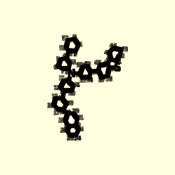 c1ccc(-c2cccc(N(c3ccc(-c4cccc(-c5ccc6ccccc6c5)c4)cc3)c3ccc(-c4ccc5sc6ccccc6c5c4)cc3)c2)cc1